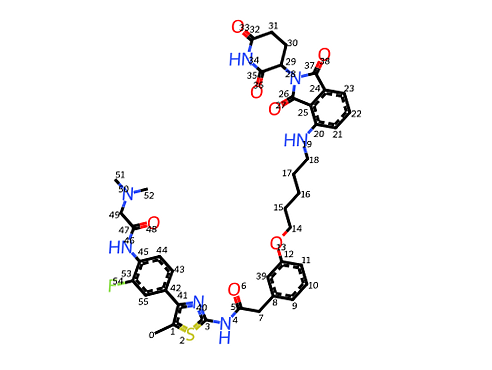 Cc1sc(NC(=O)Cc2cccc(OCCCCCNc3cccc4c3C(=O)N(C3CCC(=O)NC3=O)C4=O)c2)nc1-c1ccc(NC(=O)CN(C)C)c(F)c1